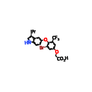 CC(C)c1c[nH]c2ccc(Oc3c(Br)cc(OCC(=O)O)cc3C(F)(F)F)cc12